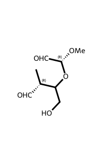 CO[C@@H](C=O)OC(CO)[C@@H](C)C=O